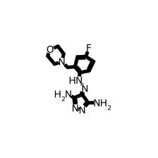 NC1=NN=C(N)C1=NNc1ccc(F)cc1CN1CCOCC1